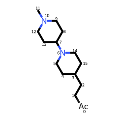 CC(=O)CCC1CCN(C2CCN(C)CC2)CC1